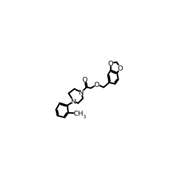 Cc1ccccc1N1CCN(C(=O)COCc2ccc3c(c2)OCO3)CC1